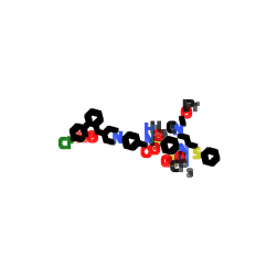 CC(C)OCCN(C)CCC(CSc1ccccc1)Nc1ccc(S(=O)(=O)NC(=O)c2ccc(N3CCC([C@@H](O)c4ccccc4-c4ccc(Cl)cc4)CC3)cc2)cc1S(=O)(=O)C(F)(F)F